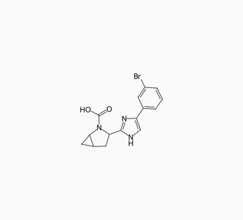 O=C(O)N1C(c2nc(-c3cccc(Br)c3)c[nH]2)CC2CC21